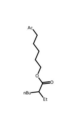 CCCCC(CC)C(=O)OCCCCCC(C)=O